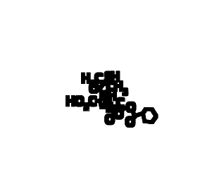 C[C@H](OC(=O)SC[C@H](NC(=O)C(C)(C)S)C(=O)O)OC(=O)C1CCCCC1